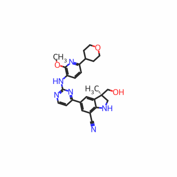 COc1nc(C2CCOCC2)ccc1Nc1nccc(-c2cc(C#N)c3c(c2)[C@@](C)(CO)CN3)n1